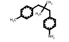 Cc1ccc(CC(C)(C)Cc2ccc(N)cc2)cc1